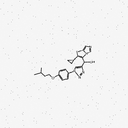 CC(C)CCOc1ccc(-n2cc(C(O)c3c(C4CC4)sc4cncn34)nn2)cc1